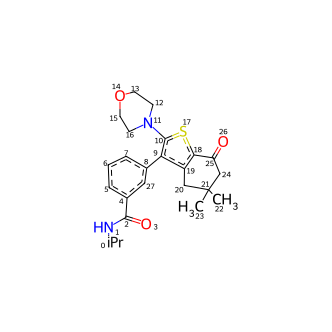 CC(C)NC(=O)c1cccc(-c2c(N3CCOCC3)sc3c2CC(C)(C)CC3=O)c1